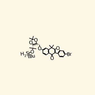 CC1(C)O[C@@H](C(C)(C)O[SiH2]C(C)(C)C)[C@@H](COc2ccc3c(c2)C(C)(C)c2oc4cc(Br)ccc4c2C3=O)O1